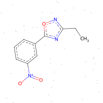 CCc1noc(-c2cccc([N+](=O)[O-])c2)n1